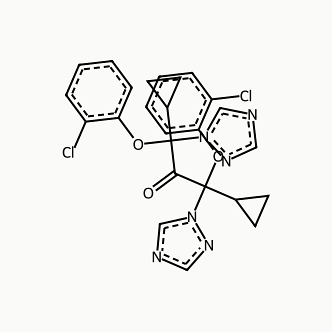 O=C(C(Oc1ccccc1Cl)(C1CC1)n1cncn1)C(Oc1ccccc1Cl)(C1CC1)n1cncn1